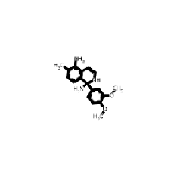 COc1ccc(C2(N)NC=Cc3c2ccc(C)c3N)cc1OC